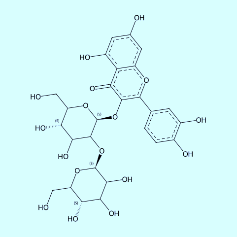 O=c1c(O[C@@H]2OC(CO)[C@@H](O)C(O)C2O[C@@H]2OC(CO)[C@@H](O)C(O)C2O)c(-c2ccc(O)c(O)c2)oc2cc(O)cc(O)c12